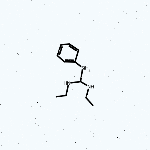 CCNC(NCC)[SiH2]c1ccccc1